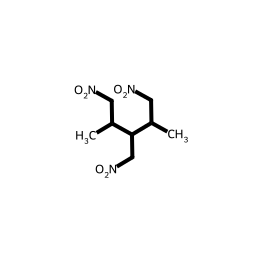 CC(C[N+](=O)[O-])C(C[N+](=O)[O-])C(C)C[N+](=O)[O-]